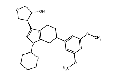 COc1cc(OC)cc(C2CCc3c([C@H]4COC[C@@H]4O)nn(C4CCCCO4)c3C2)c1